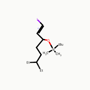 CCC(CC)CCC(/C=C/I)O[Si](C)(C)C(C)(C)C